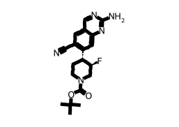 CC(C)(C)OC(=O)N1CC[C@H](c2cc3nc(N)ncc3cc2C#N)[C@@H](F)C1